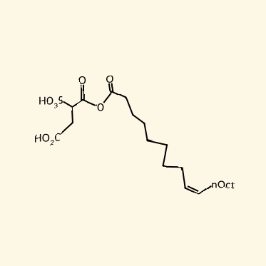 CCCCCCCC/C=C\CCCCCCCC(=O)OC(=O)C(CC(=O)O)S(=O)(=O)O